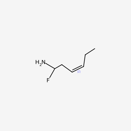 CC/C=C\CC(N)F